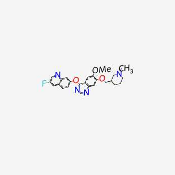 COc1cc2c(Oc3ccc4cc(F)cnc4c3)ncnc2cc1OCC1CCCN(C)C1